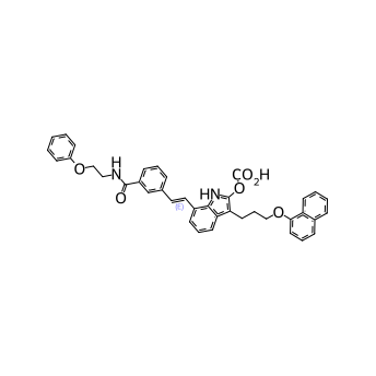 O=C(O)Oc1[nH]c2c(/C=C/c3cccc(C(=O)NCCOc4ccccc4)c3)cccc2c1CCCOc1cccc2ccccc12